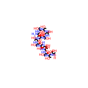 CC(O)C(N)C(=O)NC(C(=O)NC(C(=O)NC(C(=O)NC(C(=O)NC(C(=O)NC(C(=O)NC(C(=O)NC(C(=O)NC(C(=O)NC(C(=O)NC(C(=O)NC(C(=O)NC(C(=O)O)C(C)O)C(C)O)C(C)O)C(C)O)C(C)O)C(C)O)C(C)O)C(C)O)C(C)O)C(C)O)C(C)O)C(C)O)C(C)O